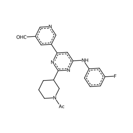 CC(=O)N1CCCC(c2nc(Nc3cccc(F)c3)cc(-c3cncc(C=O)c3)n2)C1